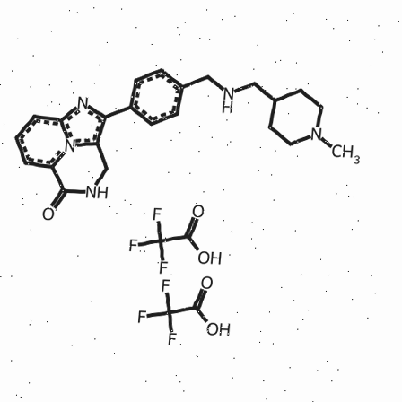 CN1CCC(CNCc2ccc(-c3nc4cccc5n4c3CNC5=O)cc2)CC1.O=C(O)C(F)(F)F.O=C(O)C(F)(F)F